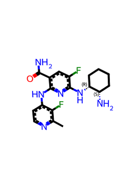 Cc1nccc(Nc2nc(N[C@@H]3CCCC[C@@H]3N)c(F)cc2C(N)=O)c1F